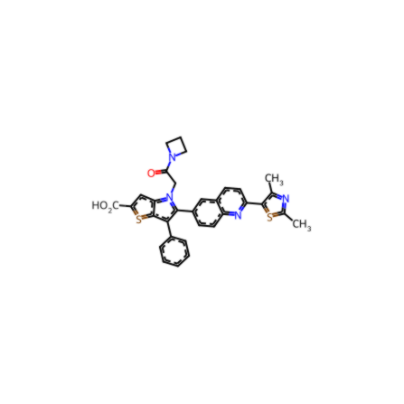 Cc1nc(C)c(-c2ccc3cc(-c4c(-c5ccccc5)c5sc(C(=O)O)cc5n4CC(=O)N4CCC4)ccc3n2)s1